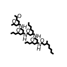 CCCCCC(C)CC(=O)NC(CCCCC)CC(=O)NC(CCCCC)CC(=O)NC(CCCCC)CC(=O)NC(CCC(C)=O)CC(C)=O